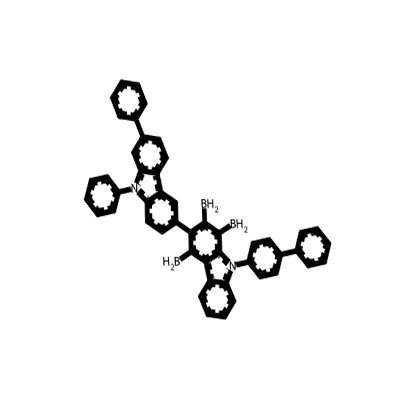 Bc1c(-c2ccc3c(c2)c2ccc(-c4ccccc4)cc2n3-c2ccccc2)c(B)c2c3ccccc3n(-c3ccc(-c4ccccc4)cc3)c2c1B